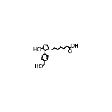 O=C(O)CCCCCC[C@H]1CC[C@@H](O)[C@@H]1c1ccc(CO)cc1